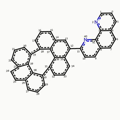 c1cnc2c(c1)ccc1ccc(-c3cc4cccc5c6cccc7ccc8cccc(c9cccc3c9c45)c8c76)nc12